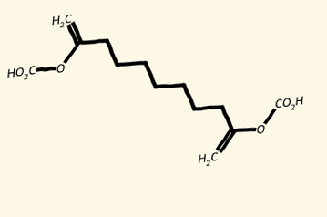 C=C(CCCCCCCC(=C)OC(=O)O)OC(=O)O